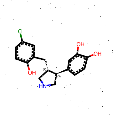 Oc1ccc([C@H]2CNC[C@@H]2Cc2cc(Cl)ccc2O)cc1O